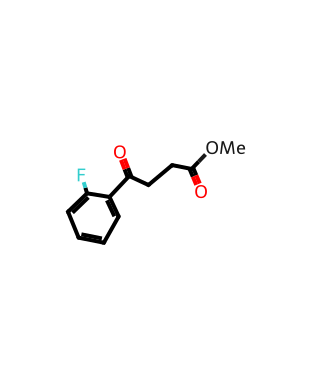 COC(=O)CCC(=O)c1ccccc1F